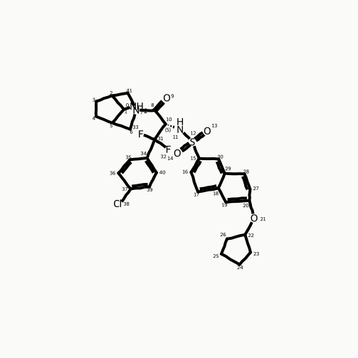 NC1C2CCC1CN(C(=O)[C@H](NS(=O)(=O)c1ccc3cc(OC4CCCC4)ccc3c1)C(F)(F)c1ccc(Cl)cc1)C2